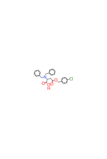 O=C(CC(C(=O)O)N(Cc1ccccc1)Cc1ccccc1)OCc1ccc(Cl)cc1